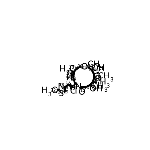 CC[C@H]1C(=O)C(C)(C)[C@@H](O)CC(=O)N[C@H](C(Cl)=Cc2csc(C)n2)C[C@@H]2O[C@]2(C)CCO[C@H](C)[C@H]1O